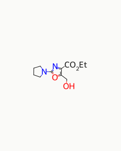 CCOC(=O)c1nc(N2CCCC2)oc1CO